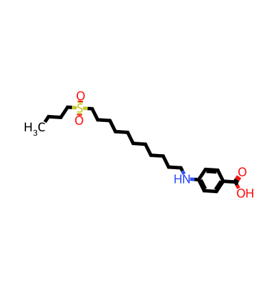 CCCCS(=O)(=O)CCCCCCCCCCCNc1ccc(C(=O)O)cc1